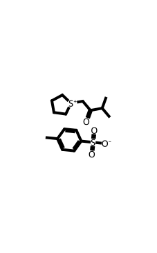 CC(C)C(=O)C[S+]1CCCC1.Cc1ccc(S(=O)(=O)[O-])cc1